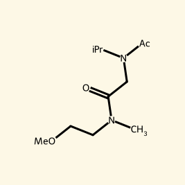 COCCN(C)C(=O)CN(C(C)=O)C(C)C